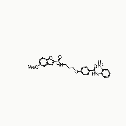 COc1ccc2oc(C(=O)NCCCOc3ccc(C(=O)Nc4ccccc4N)cc3)cc2c1